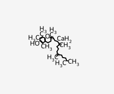 Cc1c(C)c2c(c(C)c1O)CC[C@@](C)(CCC[C@H](C)CCC[C@H](C)CCCC(C)C)O2.[CaH2]